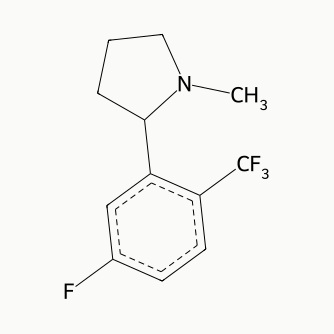 CN1CCCC1c1cc(F)ccc1C(F)(F)F